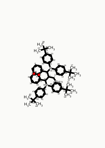 CCC(C(c1ccccc1)P(c1ccc(C(C)(C)C)cc1)c1ccc(C(C)(C)C)cc1)C(c1ccccc1)P(c1ccc(C(C)(C)C)cc1)c1ccc(C(C)(C)C)cc1